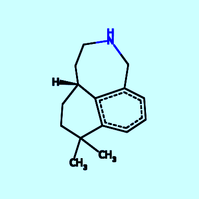 CC1(C)CC[C@@H]2CCNCc3cccc1c32